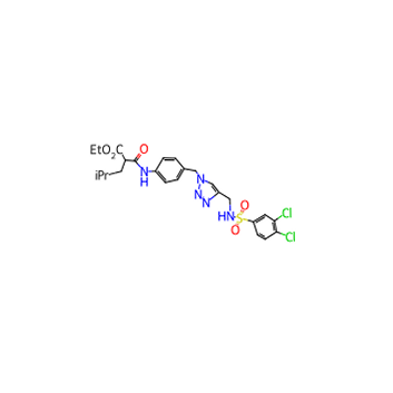 CCOC(=O)C(CC(C)C)C(=O)Nc1ccc(Cn2cc(CNS(=O)(=O)c3ccc(Cl)c(Cl)c3)nn2)cc1